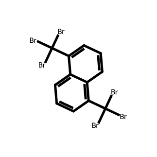 BrC(Br)(Br)c1cccc2c(C(Br)(Br)Br)cccc12